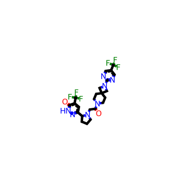 O=C(CN1CCCC1c1cc(C(F)(F)F)c(=O)[nH]n1)N1CCC2(CC1)CN(c1ncc(C(F)(F)F)cn1)C2